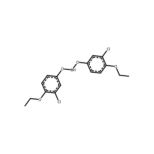 CCOc1ccc(OBOc2ccc(OCC)c(Cl)c2)cc1Cl